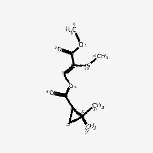 COC(=O)C(=COC(=O)C1CC1(C)C)SC